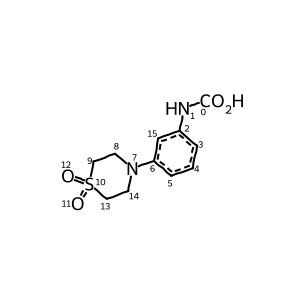 O=C(O)Nc1cccc(N2CCS(=O)(=O)CC2)c1